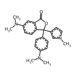 CN(C)c1ccc(C2(c3ccn(C)c3)OC(=O)c3cc(N(C)C)ccc32)cc1